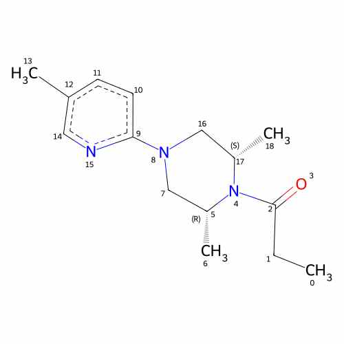 CCC(=O)N1[C@H](C)CN(c2ccc(C)cn2)C[C@@H]1C